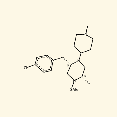 CSN1C[C@H](Cc2ccc(Cl)cc2)N(C2CCN(C)CC2)C[C@@H]1C